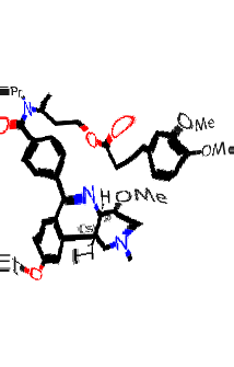 CCOc1ccc2c(c1)[C@H]1CN(C)CC(OC)[C@@H]1N=C2c1ccc(C(=O)N(C(C)C)C(C)CCOC(=O)Cc2ccc(OC)c(OC)c2)cc1